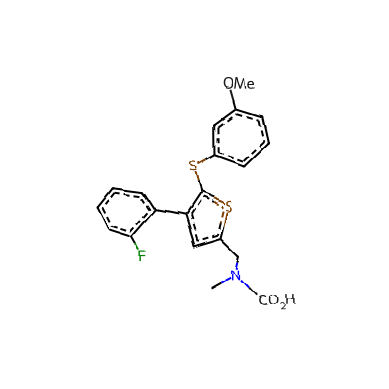 COc1cccc(Sc2sc(CN(C)C(=O)O)cc2-c2ccccc2F)c1